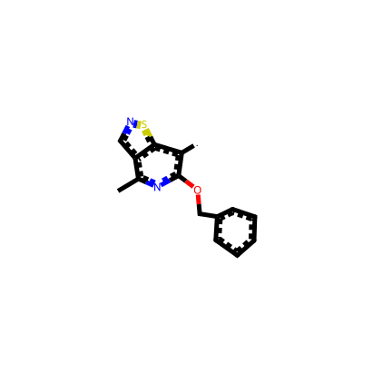 [CH2]c1c(OCc2ccccc2)nc(C)c2cnsc12